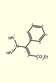 CCCN(CCC)/C(=C/C(=O)OCC)c1ccccc1